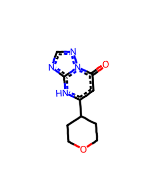 O=c1cc(C2CCOCC2)[nH]c2ncnn12